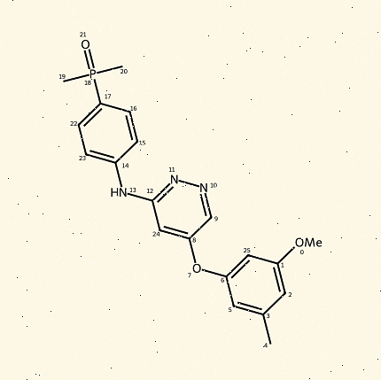 COc1cc(C)cc(Oc2cnnc(Nc3ccc(P(C)(C)=O)cc3)c2)c1